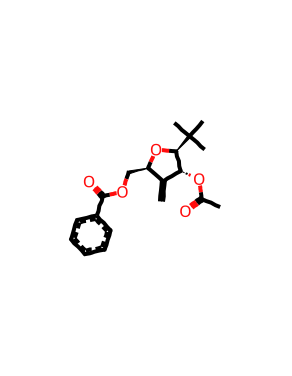 C=C1[C@@H](OC(C)=O)[C@H](C(C)(C)C)O[C@@H]1COC(=O)c1ccccc1